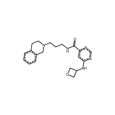 O=C(NCCCN1CCc2ccccc2C1)c1cc(NC2COC2)ncn1